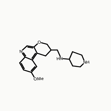 COc1ccc2ncc3c(c2c1)CC(CNC1CCNCC1)CO3